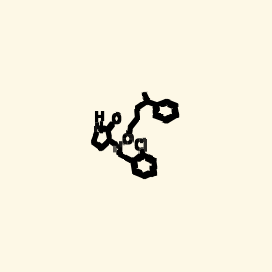 CC(CCCON(Cc1ccccc1Cl)C1CCNC1=O)c1ccccc1